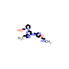 CCc1cnn2c(NCc3ccc(OCCNC)nc3)cc(N3CCCC[C@H]3CCO)nc12